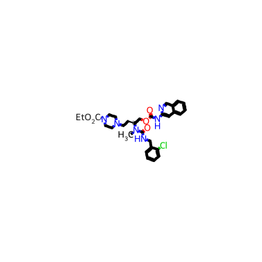 CCOC(=O)N1CCN(CC[C@@H](COC(=O)Nc2cc3ccccc3cn2)N(C)C(=O)NCc2ccccc2Cl)CC1